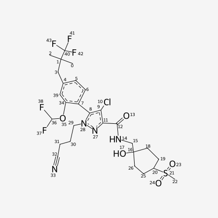 CC(C)(Cc1ccc(-c2c(Cl)c(C(=O)NCC3(O)CCC(S(C)(=O)=O)CC3)nn2CCCC#N)c(OC(F)F)c1)C(F)(F)F